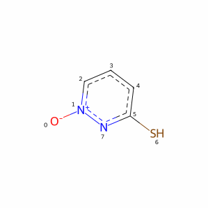 [O-][n+]1cccc(S)n1